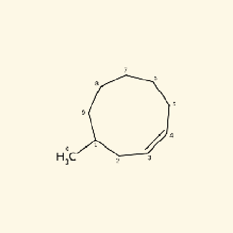 CC1CC=CCCCCC1